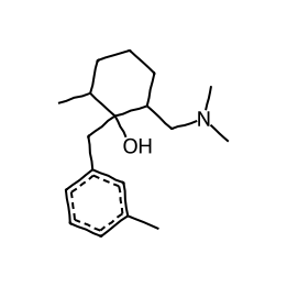 Cc1cccc(CC2(O)C(C)CCCC2CN(C)C)c1